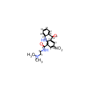 CN(C)CCNC(=O)c1cc([N+](=O)[O-])cc2c(=O)c3ccccc3[nH]c12